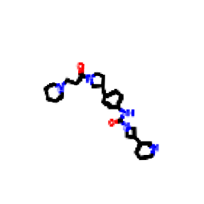 O=C(CCN1CCCCC1)N1CCC(c2ccc(NC(=O)N3CC(c4cccnc4)C3)cc2)C1